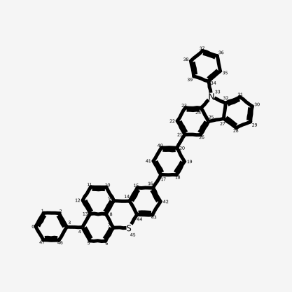 c1ccc(-c2ccc3c4c(cccc24)-c2cc(-c4ccc(-c5ccc6c(c5)c5ccccc5n6-c5ccccc5)cc4)ccc2S3)cc1